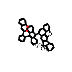 CC1(C)c2ccccc2-c2c1cc1c(-c3c4ccccc4c(-c4ccccc4-c4ccc5ccccc5c4)c4ccccc34)cc3cccc4oc2c1c34